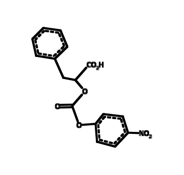 O=C(Oc1ccc([N+](=O)[O-])cc1)OC(Cc1ccccc1)C(=O)O